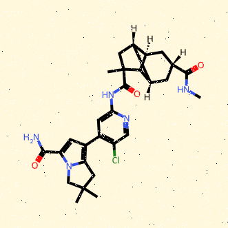 CNC(=O)[C@@H]1C[C@@H]2C3[C@H](C1)[C@H]2CC3(C)C(=O)Nc1cc(-c2cc(C(N)=O)n3c2CC(C)(C)C3)c(Cl)cn1